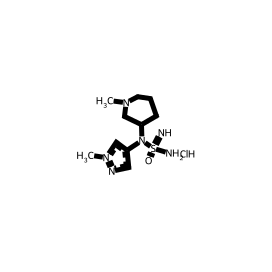 CN1CCCC(N(c2cnn(C)c2)S(=N)(N)=O)C1.Cl